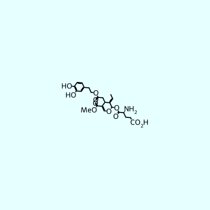 C/C=C1/C(OC(=O)[C@@H](N)CCC(=O)O)OC=C(C(=O)OC)C1CC(=O)OCCc1ccc(O)c(O)c1